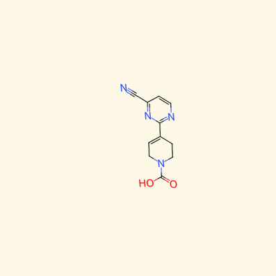 N#Cc1ccnc(C2=CCN(C(=O)O)CC2)n1